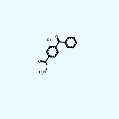 NOC(=O)c1ccc(C(=O)c2ccccc2)cc1.[Zn]